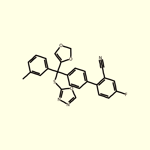 Cc1cccc(C(Sc2nnco2)(C2=COCO2)c2ccc(-c3ccc(F)cc3C#N)cc2)c1